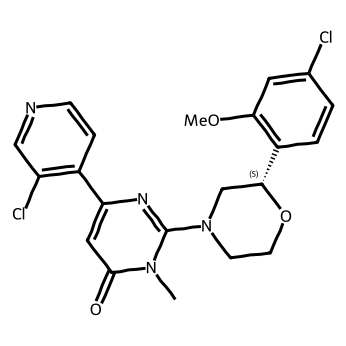 COc1cc(Cl)ccc1[C@H]1CN(c2nc(-c3ccncc3Cl)cc(=O)n2C)CCO1